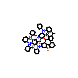 CC(C)c1cccc(C(C)C)c1B1c2ccccc2N(c2ccccc2)c2cc3c(cc21)B1c2cc4c(cc2N2c5ccccc5B5c6ccccc6N6c7ccccc7B7c8ccccc8N3c3c7c6c5c2c31)sc1ccccc14